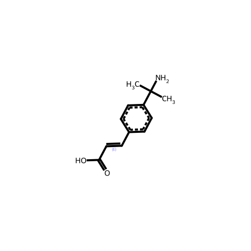 CC(C)(N)c1ccc(/C=C/C(=O)O)cc1